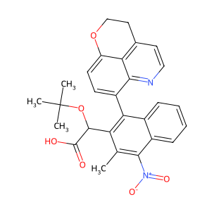 Cc1c(C(OC(C)(C)C)C(=O)O)c(-c2ccc3c4c(ccnc24)CCO3)c2ccccc2c1[N+](=O)[O-]